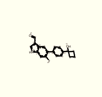 O=Cc1c[nH]c2cc(F)c(-c3ccc(C4(O)CCC4)cc3)cc12